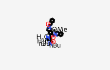 CCCCN(CCCC)C(=O)c1cc(-c2cc3c(cc2C(=O)N2Cc4ccccc4C[C@H]2COC)CN(C(=O)Cc2ccccc2)CC3)n(C)c1C